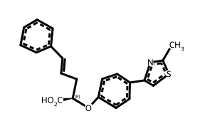 Cc1nc(-c2ccc(O[C@H](CC=Cc3ccccc3)C(=O)O)cc2)cs1